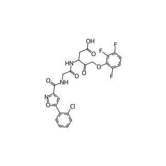 O=C(O)CC(NC(=O)CNC(=O)c1cc(-c2ccccc2Cl)on1)C(=O)COc1c(F)ccc(F)c1F